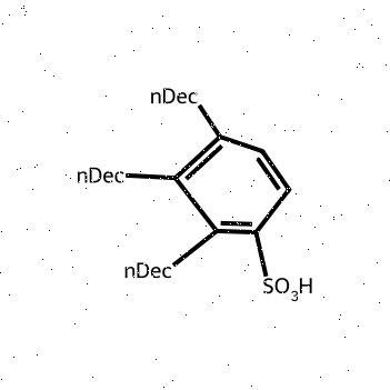 CCCCCCCCCCc1ccc(S(=O)(=O)O)c(CCCCCCCCCC)c1CCCCCCCCCC